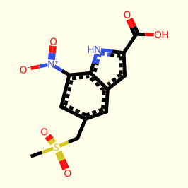 CS(=O)(=O)Cc1cc([N+](=O)[O-])c2[nH]c(C(=O)O)cc2c1